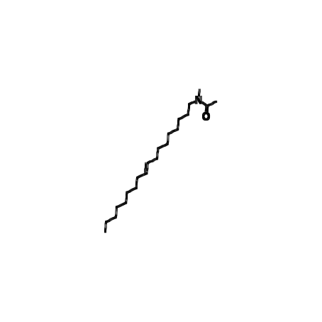 CCCCCCCCC=CCCCCCCCCN(C)C(C)=O